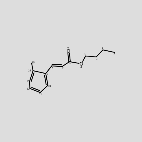 CCCCOC(=O)C=Cc1ccccc1C